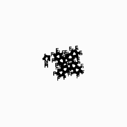 C[NH+]1CCCC1.Fc1c(F)c(F)c2c(F)c([B-](c3c(F)c(F)c4c(F)c(F)c(F)c(F)c4c3F)(c3c(F)c(F)c4c(F)c(F)c(F)c(F)c4c3F)c3c(F)c(F)c4c(F)c(F)c(F)c(F)c4c3F)c(F)c(F)c2c1F